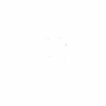 CCCCCCC(CCCC)CC(C(=O)O)C(O)(CC(CCCC)CCCCCC)C(=O)O